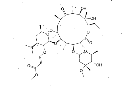 CC[C@H]1OC(=O)[C@H](C)[C@@H](O[C@H]2C[C@@](C)(OC)[C@@H](O)[C@H](C)O2)[C@H](C)[C@@H](O[C@@H]2O[C@H](C)C[C@H](N(C)C)[C@H]2O/C=C/C(=O)OC)[C@@](C)(OC)C[C@@H](C)C(=O)[C@H](C)[C@@H](O)[C@]1(C)O